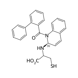 O=C(O)C(CS)N[C@@H]1C=Cc2ccccc2N1C(=O)c1ccccc1-c1ccccc1